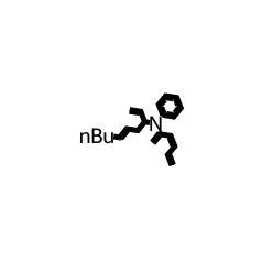 C=C/C=C\C(=C)N(c1ccccc1)C(C=C)C/C=C/CCCC